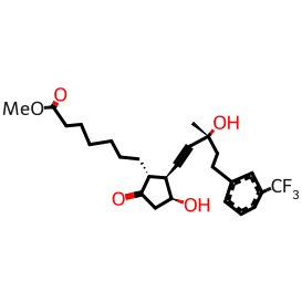 COC(=O)CCCCCC[C@H]1C(=O)C[C@H](O)[C@@H]1C#C[C@](C)(O)CCc1cccc(C(F)(F)F)c1